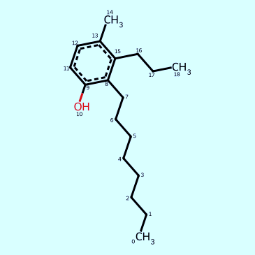 CCCCCCCCc1c(O)ccc(C)c1CCC